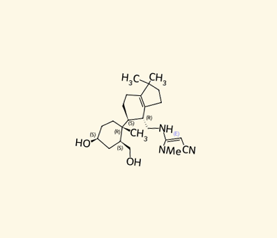 CN/C(=C\C#N)NC[C@H]1C2=C(CC[C@@H]1[C@@]1(C)CC[C@H](O)C[C@@H]1CO)C(C)(C)CC2